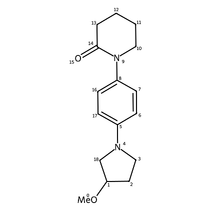 COC1CCN(c2ccc(N3CCCCC3=O)cc2)C1